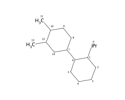 CC(C)C1CCCCC1C1CCC(C)C(C)C1